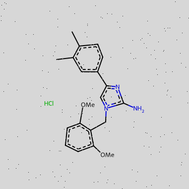 COc1cccc(OC)c1Cn1cc(-c2ccc(C)c(C)c2)nc1N.Cl